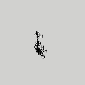 C[C@@H]1C[C@H]2[C@@H]3CCC4=CC(=O)C=C[C@]4(C)[C@@]3(F)[C@@H](O)C[C@]2(C)[C@@]1(O)C(=O)COC(=O)OCCCCNC(=O)OC(C)(C)C